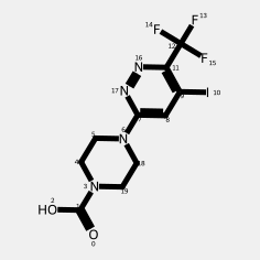 O=C(O)N1CCN(c2cc(I)c(C(F)(F)F)nn2)CC1